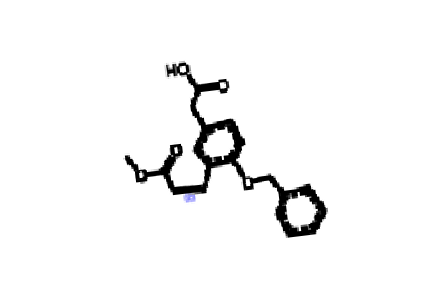 COC(=O)/C=C\c1cc(CC(=O)O)ccc1OCc1ccccc1